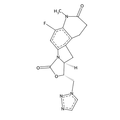 CN1C(=O)CCc2c3c(cc(F)c21)N1C(=O)O[C@@H](Cn2ccnn2)[C@@H]1C3